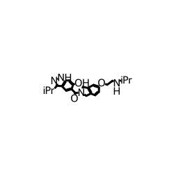 CC(C)NCCOc1ccc2c(c1)CN(C(=O)c1cc3c(C(C)C)n[nH]c3cc1O)C2